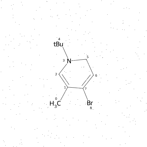 CC1=CN(C(C)(C)C)CC=C1Br